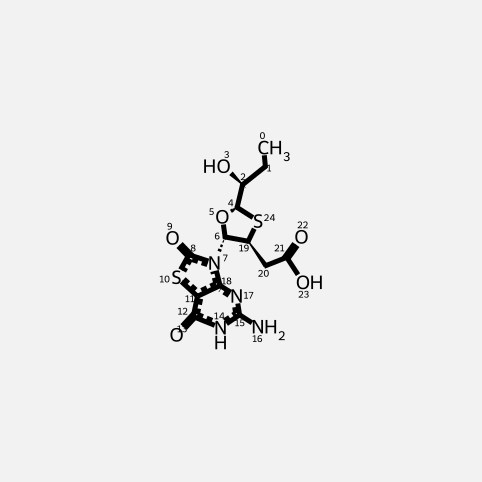 CC[C@H](O)[C@H]1O[C@@H](n2c(=O)sc3c(=O)[nH]c(N)nc32)[C@H](CC(=O)O)S1